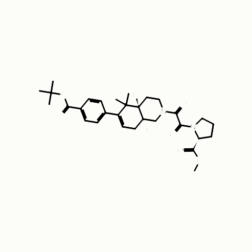 COC(=O)[C@@H]1CCCN1C(=O)C(=O)N1CC[C@H]2C(C)(C)C(c3ccc(C(=O)OC(C)(C)C)cc3)=CC[C@]2(C)C1